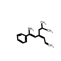 C=C/C=C(\C=C(/N)c1ccccc1)CC(C)C